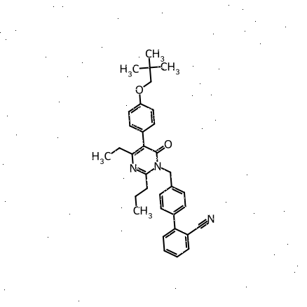 CCCc1nc(CC)c(-c2ccc(OCC(C)(C)C)cc2)c(=O)n1Cc1ccc(-c2ccccc2C#N)cc1